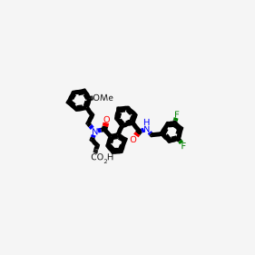 COc1ccccc1CCN(CCC(=O)O)C(=O)c1ccccc1-c1ccccc1C(=O)NCc1cc(F)cc(F)c1